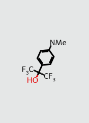 CNc1ccc(C(O)(C(F)(F)F)C(F)(F)F)cc1